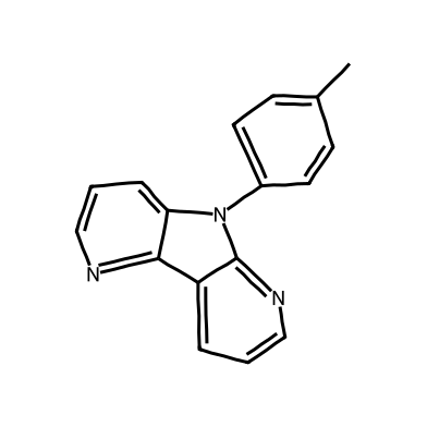 Cc1ccc(-n2c3cccnc3c3cccnc32)cc1